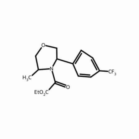 CCOC(=O)C(=O)N1C(C)COCC1c1ccc(C(F)(F)F)cc1